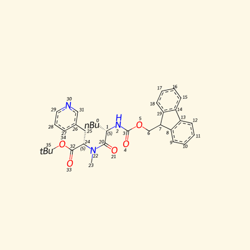 CCCC[C@H](NC(=O)OCC1c2ccccc2-c2ccccc21)C(=O)N(C)[C@@H](Cc1cccnc1)C(=O)OC(C)(C)C